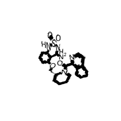 NC1=NS(=O)(=O)Nc2cccc(OC[C@H]3CCCCN3C(=O)c3nccc4ccccc34)c21